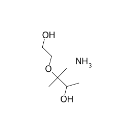 CC(O)C(C)(C)OCCO.N